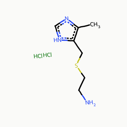 Cc1nc[nH]c1CSCCN.Cl.Cl